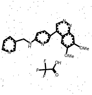 COc1cc2nncc(-c3ccc(NCc4cccnc4)nc3)c2cc1OC.O=C(O)C(F)(F)F